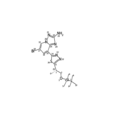 C[C@@H](CO[Si](C)(C)C(C)(C)C)c1nnc(-c2cc(Br)cn3nc(N)nc23)s1